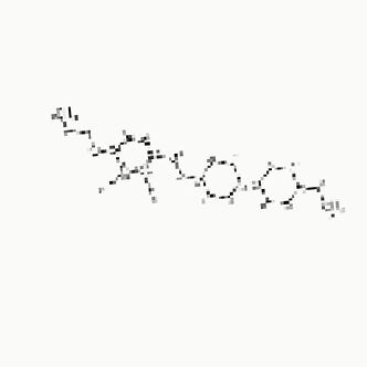 CCCOc1ccc(OCC2CCC([C@H]3CC[C@H](CC)CC3)CC2)c(F)c1F